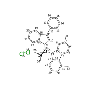 Cc1ccc2c(c1)[CH]([Zr+2]([CH]1C=C(c3ccccc3)c3ccccc31)=[Si](C)C)c1cccc(C)c1-2.[Cl-].[Cl-]